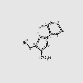 O=C(O)c1cn(-c2ccccc2F)nc1CBr